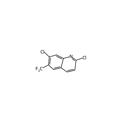 FC(F)(F)c1cc2ccc(Cl)nc2cc1Cl